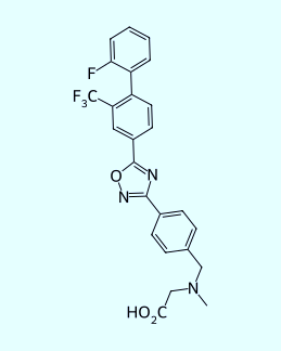 CN(CC(=O)O)Cc1ccc(-c2noc(-c3ccc(-c4ccccc4F)c(C(F)(F)F)c3)n2)cc1